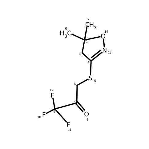 CC1(C)CC(SCC(=O)C(F)(F)F)=NO1